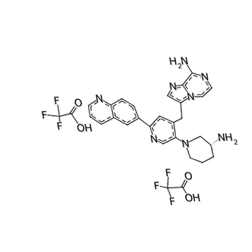 Nc1nccn2c(Cc3cc(-c4ccc5ncccc5c4)ncc3N3CCC[C@@H](N)C3)cnc12.O=C(O)C(F)(F)F.O=C(O)C(F)(F)F